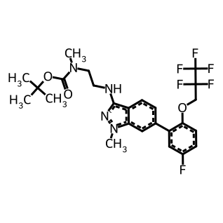 CN(CCNc1nn(C)c2cc(-c3cc(F)ccc3OCC(F)(F)C(F)(F)F)ccc12)C(=O)OC(C)(C)C